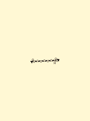 C=C(C)C(=O)OCCOCCOCCOCCOCCOCCNC(=O)OC(C)(C)C